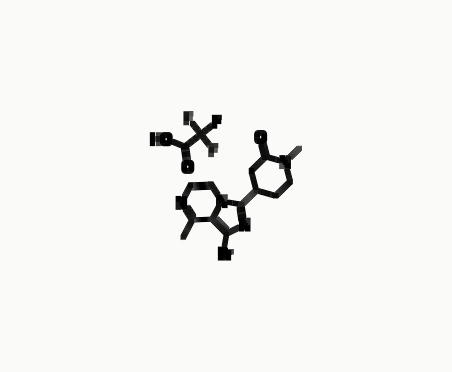 Cc1nccn2c(C3CCN(C)C(=O)C3)nc(Br)c12.O=C(O)C(F)(F)F